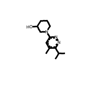 Cc1cc(N2CCCC(O)C2)nnc1C(C)C